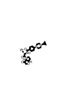 CC(C)C[C@H](NC(=O)c1ccc(N2CCN(C3CC3)CC2)cc1)C(=O)N1CC[C@H]2OCC(=O)[C@H]21